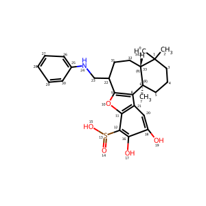 CC1(C)CCC[C@@]2(C)c3c(oc4c(S(=O)O)c(O)c(O)cc34)C(CNc3ccccc3)CC[C@H]12